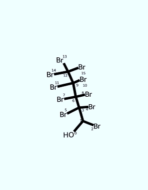 OC(Br)C(Br)(Br)C(Br)(Br)C(Br)(Br)C(Br)(Br)Br